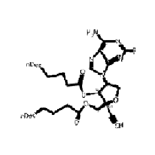 C#C[C@]1(COC(=O)CCCCCCCCCCCCC)OCC(n2cnc3c(N)nc(F)nc32)[C@@H]1OC(=O)CCCCCCCCCCCCC